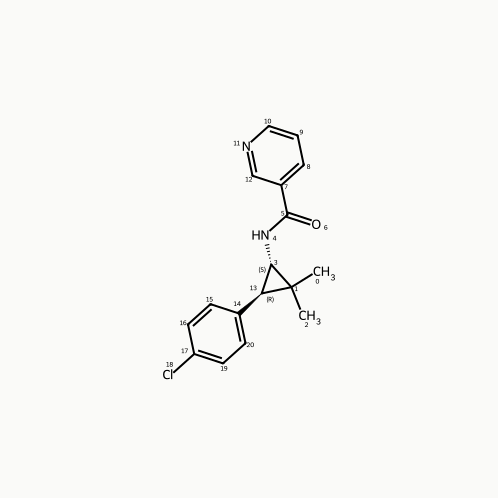 CC1(C)[C@@H](NC(=O)c2cccnc2)[C@@H]1c1ccc(Cl)cc1